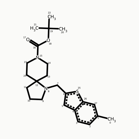 Cc1ccc2cc(CN3CCCC34CCN(C(=O)OC(C)(C)C)CC4)sc2c1